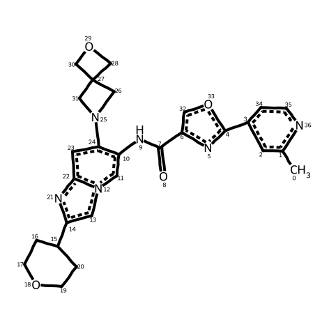 Cc1cc(-c2nc(C(=O)Nc3cn4cc(C5CCOCC5)nc4cc3N3CC4(COC4)C3)co2)ccn1